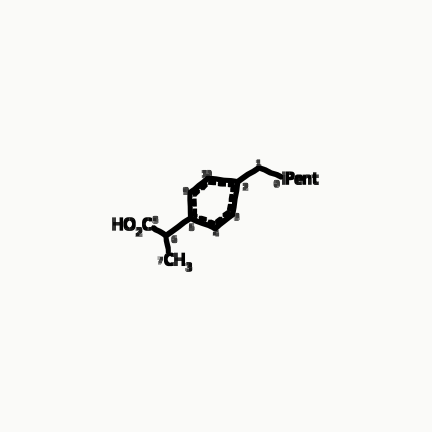 CCCC(C)Cc1ccc(C(C)C(=O)O)cc1